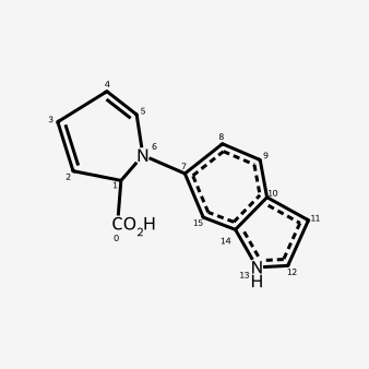 O=C(O)C1C=CC=CN1c1ccc2cc[nH]c2c1